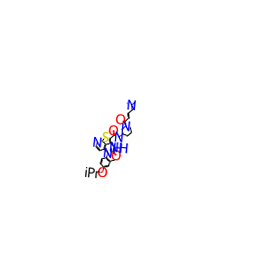 Cc1cc(OC(C)C)ccc1N1C(=O)Nc2c(C(=O)N[C@@H]3CCCN(C(=O)/C=C/CN(C)C)C3)sc3nccc1c23